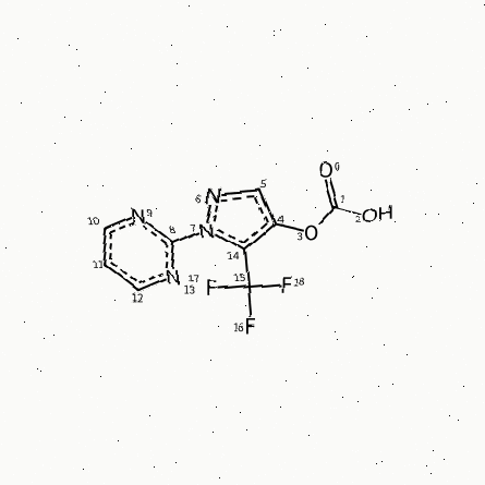 O=C(O)Oc1cnn(-c2ncccn2)c1C(F)(F)F